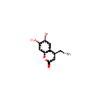 COCc1cc(=O)oc2cc(O)c(Br)cc12